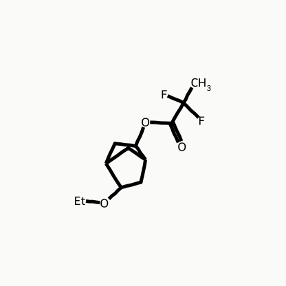 CCOC1CC2CC1CC2OC(=O)C(C)(F)F